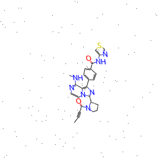 CC#CC(=O)N1CCCC1c1nc(-c2ccc(C(=O)Nc3cscn3)cc2)c2c(NC)nccn12